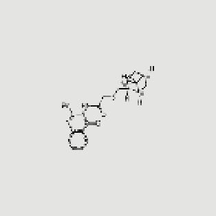 CC(C)c1nc2ccccc2c(=O)n1NC(=O)CSC[C@@H]1CC[C@H]2C[C@@H]1C2(C)C